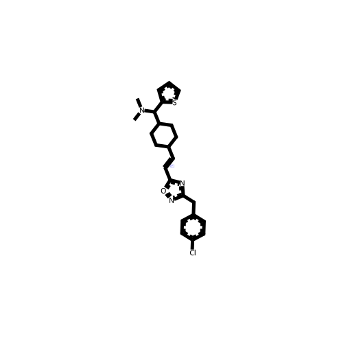 CN(C)C(c1cccs1)C1CCC(/C=C/c2nc(Cc3ccc(Cl)cc3)no2)CC1